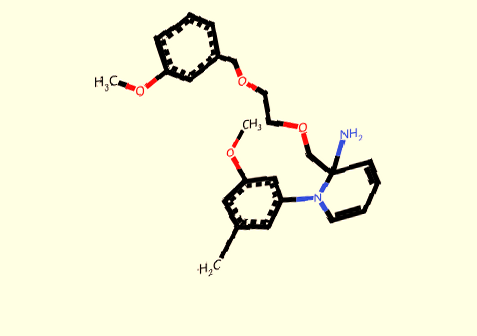 [CH2]c1cc(OC)cc(N2C=CC=CC2(N)COCCOCc2cccc(OC)c2)c1